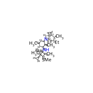 CCC(CC)C(C)C12CC(C1)C21CN(C2CC(C)CC(NC3(C(C)CC)C(C)C(SC)C3(C)C3CC3)C2C)C1